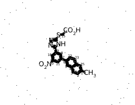 Cc1ccc2cc(-c3cc(-c4nnc(SCC(=O)O)[nH]4)cc([N+](=O)[O-])c3)ccc2c1